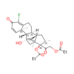 CCC(=O)OCC(=O)[C@@]1(OC(=O)CC)[C@@H](C)C[C@H]2[C@@H]3CCC4=C(F)C(=O)C=C[C@]4(C)[C@H]3[C@@H](O)C[C@@]21C